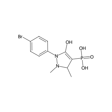 CC1C(P(=O)(O)O)=C(O)N(c2ccc(Br)cc2)N1C